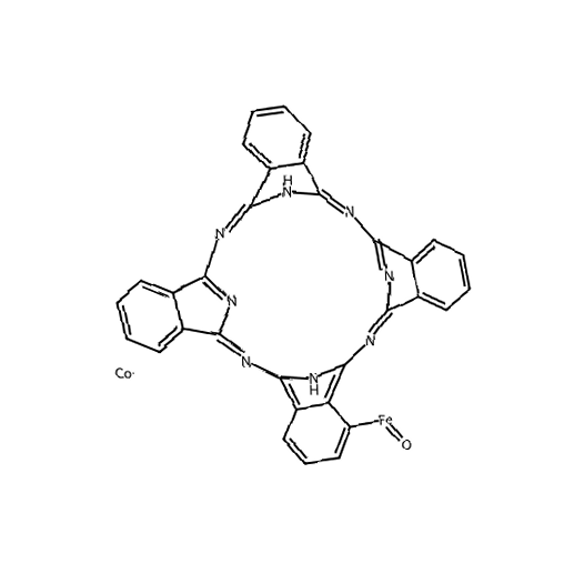 [Co].[O]=[Fe][c]1cccc2c3nc4nc(nc5[nH]c(nc6nc(nc([nH]3)c12)-c1ccccc1-6)c1ccccc51)-c1ccccc1-4